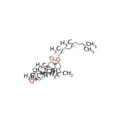 C=C(C)C1CC[C@]2(C(=O)OC/C=C(\C)CC/C=C(\C)CCC=C(C)C)CC[C@]3(C)[C@H](CC[C@@H]4[C@@]5(C)CCC(=O)C(C)(C)C5CC[C@]43C)C12